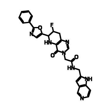 O=C(Cn1cnc2c(c1=O)NC(c1cnc(-c3ccccc3)o1)C(F)C2)NCc1cc2cnccc2[nH]1